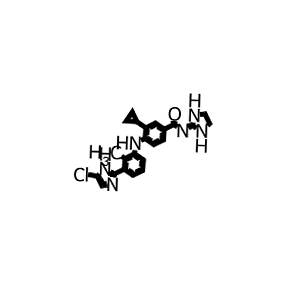 Cc1c(Nc2ccc(C(=O)N=C3NCCN3)cc2C2CC2)cccc1-c1ncc(Cl)[nH]1